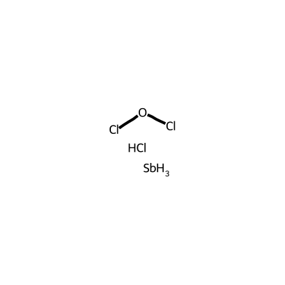 Cl.ClOCl.[SbH3]